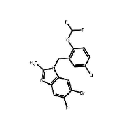 Cc1nc2cc(F)c(Br)cc2n1Cc1cc(Cl)ccc1OC(F)F